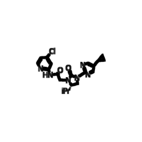 CC(C)[C@H]1CN(c2ncc(C3CC3)cn2)C(=O)N1CC(=O)Nc1cc(Cl)ccn1